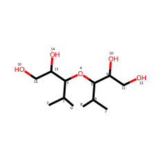 CC(C)C(OC(C(C)C)C(O)CO)C(O)CO